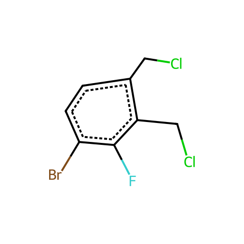 Fc1c(Br)ccc(CCl)c1CCl